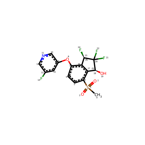 CS(=O)(=O)c1ccc(Oc2cncc(F)c2)c2c1[C@H](O)C(F)(F)[C@@H]2F